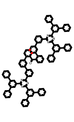 O=C(c1ccccc1-c1cccc(-c2cccc(-c3nc(-c4cc(-c5ccccc5)cc(-c5ccccc5)c4)nc(-c4cc(-c5ccccc5)cc(-c5ccccc5)c4)n3)c2)c1)c1ccccc1-c1cccc(-c2cccc(-c3nc(-c4cc(-c5ccccc5)cc(-c5ccccc5)c4)nc(-c4cc(-c5ccccc5)cc(-c5ccccc5)c4)n3)c2)c1